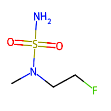 CN(CCF)S(N)(=O)=O